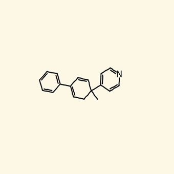 CC1(c2ccncc2)C=CC(c2ccccc2)=CC1